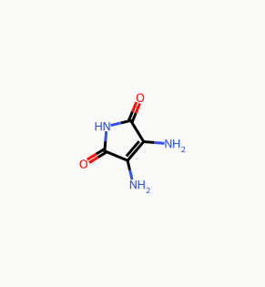 NC1=C(N)C(=O)NC1=O